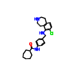 O=C(Nc1ccc(CNc2c(Cl)ccc3c2CCNCC3)cc1)C1CCCCCC1